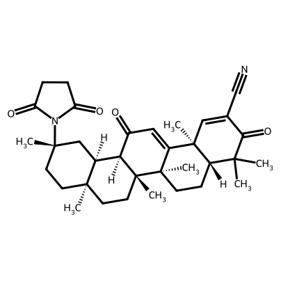 CC1(C)C(=O)C(C#N)=C[C@]2(C)C3=CC(=O)[C@@H]4[C@@H]5C[C@@](C)(N6C(=O)CCC6=O)CC[C@]5(C)CC[C@@]4(C)[C@]3(C)CC[C@@H]12